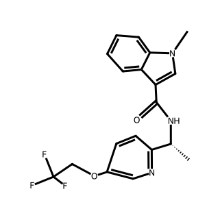 C[C@@H](NC(=O)c1cn(C)c2ccccc12)c1ccc(OCC(F)(F)F)cn1